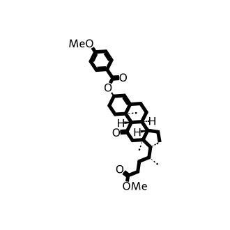 COC(=O)CC[C@@H](C)[C@H]1CC[C@H]2[C@@H]3CCC4=C[C@@H](OC(=O)c5ccc(OC)cc5)CC[C@]4(C)[C@H]3C(=O)C[C@]12C